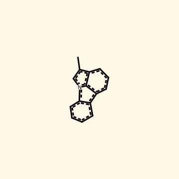 Cc1cn2c3ccccc3c3cccc1c32